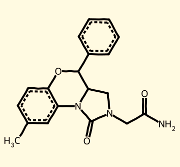 Cc1ccc2c(c1)N1C(=O)N(CC(N)=O)CC1C(c1ccccc1)O2